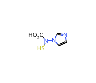 O=C(O)N(S)n1ccnc1